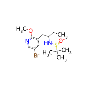 CCC(Cc1cc(Br)cnc1OC)N[S+]([O-])C(C)(C)C